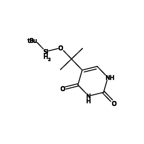 CC(C)(C)[SiH2]OC(C)(C)c1c[nH]c(=O)[nH]c1=O